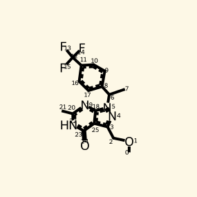 COCc1nn(C(C)c2ccc(C(F)(F)F)cc2)c2nc(C)[nH]c(=O)c12